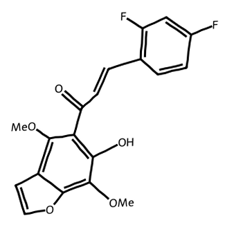 COc1c(C(=O)C=Cc2ccc(F)cc2F)c(O)c(OC)c2occc12